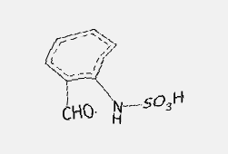 O=[C]c1ccccc1NS(=O)(=O)O